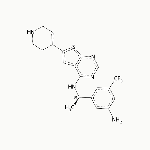 C[C@@H](Nc1ncnc2sc(C3=CCNCC3)cc12)c1cc(N)cc(C(F)(F)F)c1